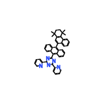 CC1(C)CCC(C)(C)c2c1cc(-c1c3ccccc3c(-c3nc(-c4ccccn4)nc(-c4ccccn4)n3)c3ccccc13)c1ccccc21